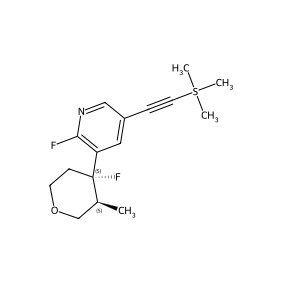 C[C@H]1COCC[C@@]1(F)c1cc(C#CS(C)(C)C)cnc1F